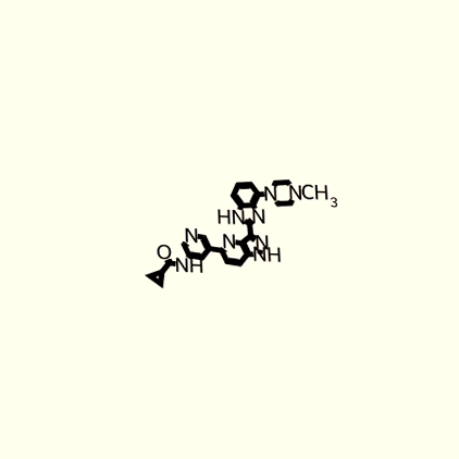 CN1CCN(c2cccc3[nH]c(-c4n[nH]c5ccc(-c6cncc(NC(=O)C7CC7)c6)nc45)nc23)CC1